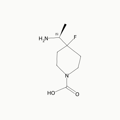 C[C@H](N)C1(F)CCN(C(=O)O)CC1